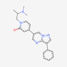 CC(Cn1ccc(-c2cnc3c(-c4ccccc4)cnn3c2)cc1=O)N(C)C